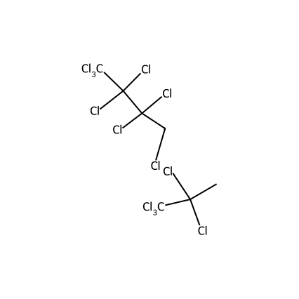 CC(Cl)(Cl)C(Cl)(Cl)Cl.ClCC(Cl)(Cl)C(Cl)(Cl)C(Cl)(Cl)Cl